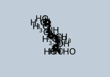 Cc1c(O)ccc(CCNC(=O)c2cccc(CC(C)(C)NC[C@H](O)c3ccc(O)c(NC=O)c3)c2)c1C